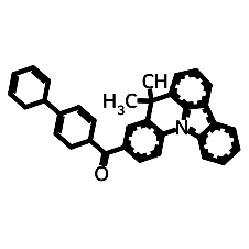 CC1(C)c2cc(C(=O)C3C=CC(C4C=CC=CC4)=CC3)ccc2-n2c3ccccc3c3cccc1c32